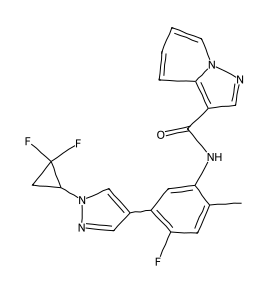 Cc1cc(F)c(-c2cnn(C3CC3(F)F)c2)cc1NC(=O)c1cnn2ccccc12